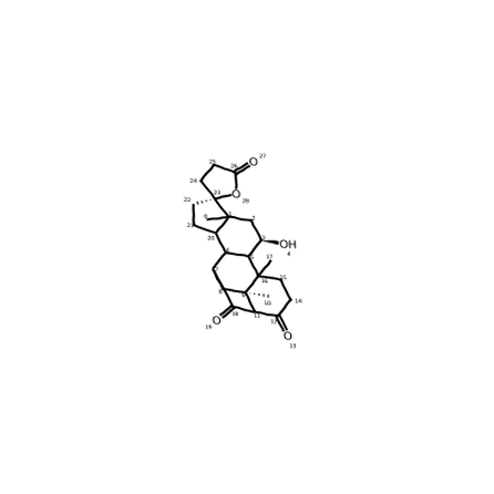 CC12C[C@@H](O)C3C(C4C[C@]5(C)C(C(=O)CCC35C)C4=O)C1CC[C@@]21CCC(=O)O1